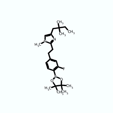 CCC(C)(C)Cc1cn(C)c(CCc2ccc(B3OC(C)(C)C(C)(C)O3)c(F)c2)n1